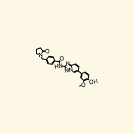 COc1cc(-c2ccc3nc(NC(=O)c4ccc(CN5CCCC5=O)cc4)nn3c2)ccc1O